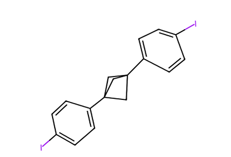 Ic1ccc(C23CC(c4ccc(I)cc4)(C2)C3)cc1